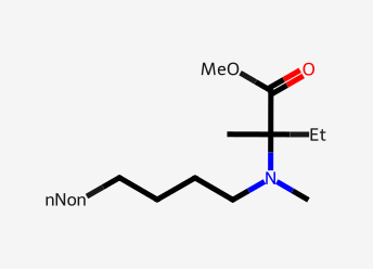 CCCCCCCCCCCCCN(C)C(C)(CC)C(=O)OC